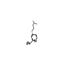 CC(C)CCCc1ccnc(Br)c1